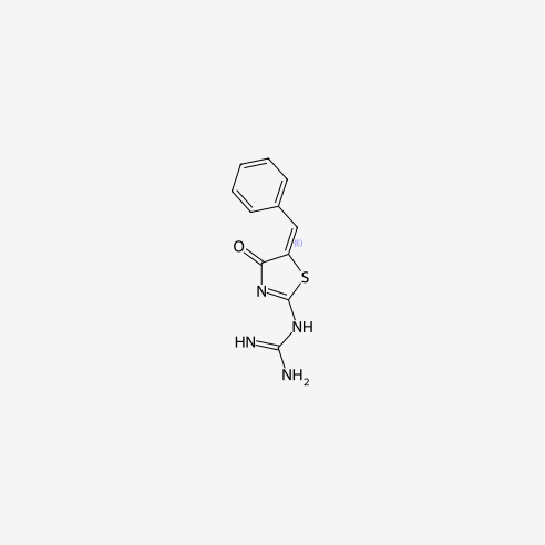 N=C(N)NC1=NC(=O)/C(=C\c2ccccc2)S1